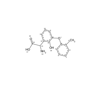 Cc1ccccc1Oc1cccc(C(N)C(=O)O)c1O